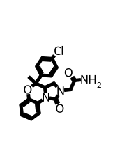 CC1(c2ccc(Cl)cc2)Oc2ccccc2N2C(=O)N(CC(N)=O)CC21